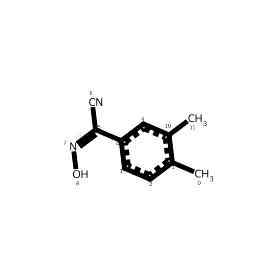 Cc1ccc(/C(C#N)=N\O)cc1C